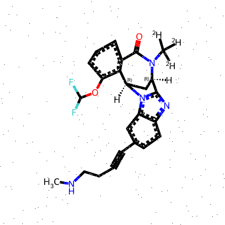 [2H]C([2H])([2H])N1C(=O)c2cccc(OC(F)F)c2[C@H]2C[C@@H]1c1nc3ccc(C#CCCNC)cc3n12